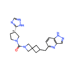 O=C(N1CC[C@H](c2ncn[nH]2)C1)N1CC2(CC(Cc3ccc4[nH]ncc4n3)C2)C1